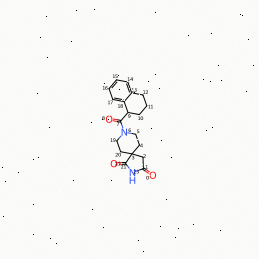 O=C1CC2(CCN(C(=O)C3CCCc4ccccc43)CC2)C(=O)N1